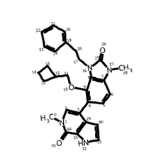 Cn1cc(-c2ccc3c(c2OCC2CCC2)n(CCc2ccccc2)c(=O)n3C)c2cc[nH]c2c1=O